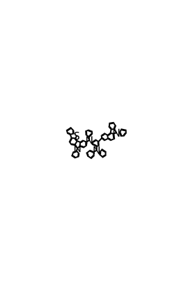 c1ccc(N(c2ccccc2)c2cc(-c3ccc4c(ccc5c4c4ccccc4n5-c4ccccc4)c3)cc(N(c3ccccc3)c3ccc4c(c3)c3c5sc6ccccc6c5ccc3n4-c3ccccc3)c2)cc1